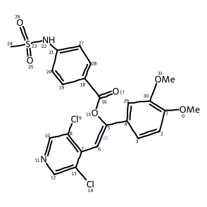 COc1ccc(/C(=C/c2c(Cl)cncc2Cl)OC(=O)c2ccc(NS(C)(=O)=O)cc2)cc1OC